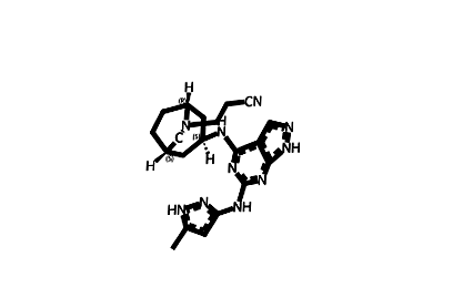 Cc1cc(Nc2nc(N[C@H]3C[C@@H]4CC[C@H](C3)N(CCC#N)C4)c3cn[nH]c3n2)n[nH]1